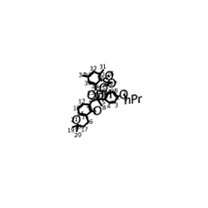 CCCOc1ccc(C2(O)COc3c(ccc4c3CCC(C)(C)O4)C2O)c(OS(=O)(=O)c2c(C)cc(C)cc2C)c1